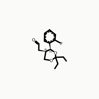 CCC1(CC)OC[C@@H](CC=O)[C@@H](c2ccccc2F)O1